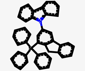 c1ccc([Si](c2ccccc2)(c2ccccc2)c2cc(-n3c4ccccc4c4ccccc43)cc3c2Cc2ccccc2-3)cc1